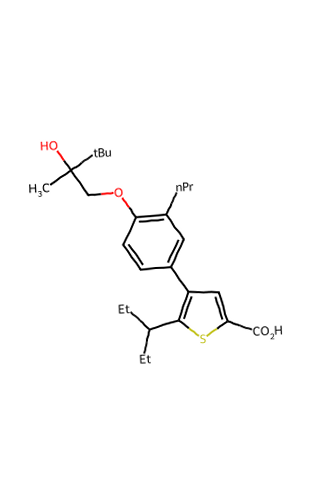 CCCc1cc(-c2cc(C(=O)O)sc2C(CC)CC)ccc1OCC(C)(O)C(C)(C)C